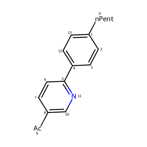 CCCCCc1ccc(-c2ccc(C(C)=O)cn2)cc1